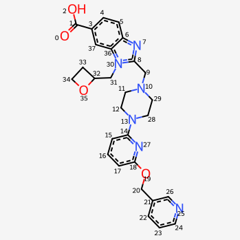 O=C(O)c1ccc2nc(CN3CCN(c4cccc(OCc5cccnc5)n4)CC3)n(CC3CCO3)c2c1